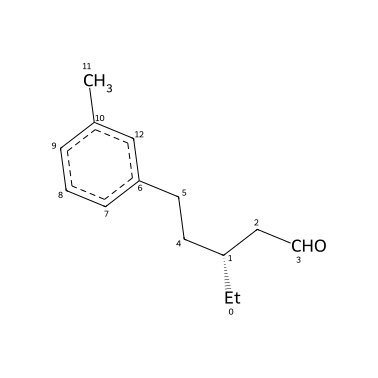 CC[C@@H](CC=O)CCc1cccc(C)c1